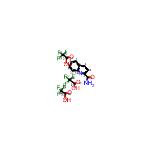 NC(=O)c1ccc2ccccc2n1.O=C(O)C(F)(F)F.O=C(O)C(F)(F)F.O=C(O)C(F)(F)F